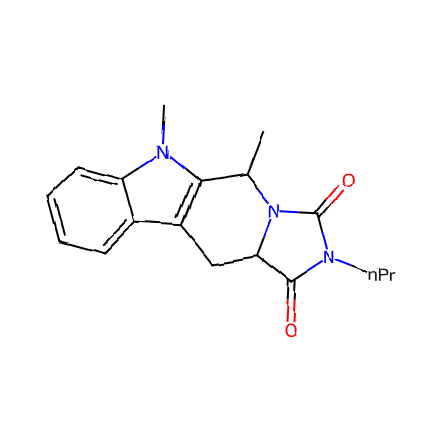 CCCN1C(=O)C2Cc3c(n(C)c4ccccc34)C(C)N2C1=O